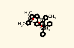 Cc1ccc2c(c1)c1cc(C)ccc1n2-c1ccc(-c2nc(-c3ccccc3)nc(-c3ccccc3)n2)cc1-c1c(-n2c3ccc(C)cc3c3cc(C)ccc32)cccc1C(F)(F)F